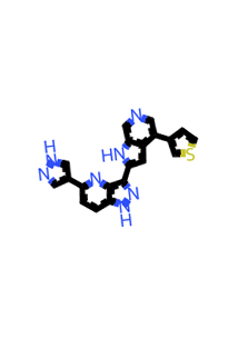 c1cc(-c2cncc3[nH]c(-c4n[nH]c5ccc(-c6cn[nH]c6)nc45)cc23)cs1